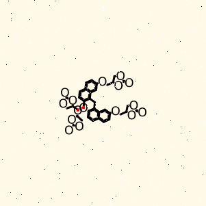 O=C1OCC(COc2ccc3ccc(COC4COC(=O)O4)c(Cc4c(OCC5COC(=O)O5)ccc5ccc(OCC6COC(=O)O6)cc45)c3c2)O1